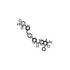 CC(=O)c1c(C)c2cnc(Nc3ccc(N4CCN(Cc5ccnc(N6CCC(=O)NC6=O)c5)CC4)cn3)nc2n(C2CCCC2)c1=O